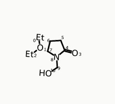 CCOCC.O=C1CCCN1CO